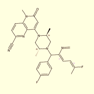 C=N/C(=C\C=C(/C)F)C(c1ccc(F)cc1)N1C[C@H](C)N(c2cc(=O)n(C)c3ccc(C#N)nc23)C[C@H]1C